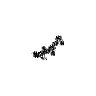 N#Cc1cc(C#N)cc(-c2ccc(-c3cc(-c4ccccc4)nc4c3ccc3ccc(-c5ccc6oc7c(-c8ccnc9c8ccc8ccc(-c%10ccc%11oc%12cccc(-c%13ccc(-c%14ccccn%14)cc%13)c%12c%11c%10)nc89)ccc(-c8ccc(-c9ccccn9)cc8)c7c6c5)nc34)c3oc4ccc(-c5ccc6ccc7cccnc7c6n5)cc4c23)c1